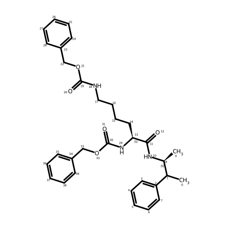 CC(c1ccccc1)[C@H](C)NC(=O)[C@H](CCCCNC(=O)OCc1ccccc1)NC(=O)OCc1ccccc1